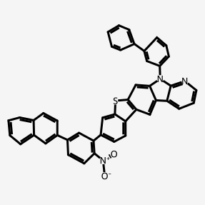 O=[N+]([O-])c1ccc(-c2ccc3ccccc3c2)cc1-c1ccc2c(c1)sc1cc3c(cc12)c1cccnc1n3-c1cccc(-c2ccccc2)c1